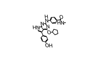 CNC(=O)c1ccc(Nc2nc(OC3CCCC3)c3c(-c4ccc(O)cc4)c[nH]c3n2)cc1